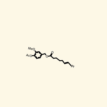 COc1cc(COC(=O)CCCC/C=C/C(C)C)ccc1OC(C)=O